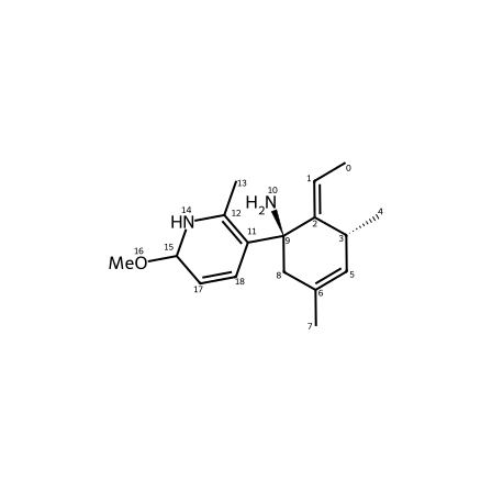 C/C=C1\[C@H](C)C=C(C)C[C@]1(N)C1=C(C)NC(OC)C=C1